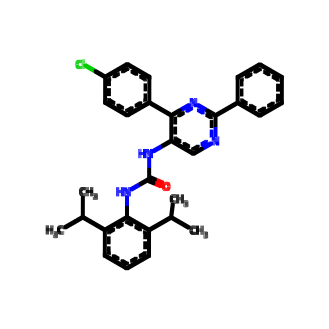 CC(C)c1cccc(C(C)C)c1NC(=O)Nc1cnc(-c2ccccc2)nc1-c1ccc(Cl)cc1